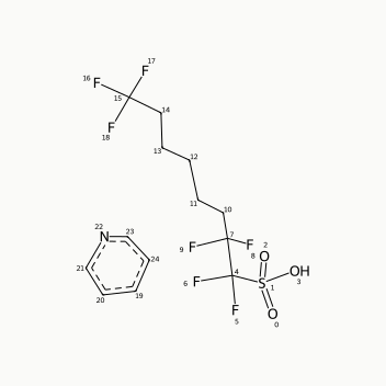 O=S(=O)(O)C(F)(F)C(F)(F)CCCCCC(F)(F)F.c1ccncc1